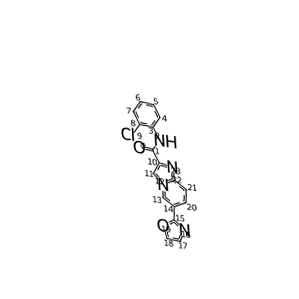 O=C(Nc1ccccc1Cl)c1cn2cc(-c3ncco3)ccc2n1